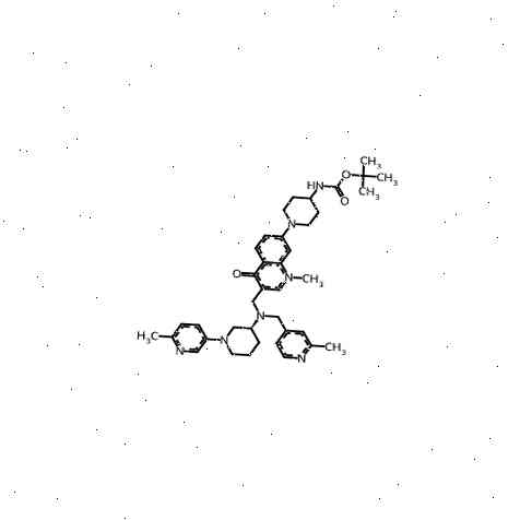 Cc1ccc(N2CCC[C@H](N(Cc3ccnc(C)c3)Cc3cn(C)c4cc(N5CCC(NC(=O)OC(C)(C)C)CC5)ccc4c3=O)C2)cn1